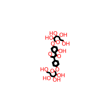 O=c1c(-c2ccc(OC3OC(CO)C(O)C(O)C3O)cc2)coc2cc(OC3OC(CO)C(O)C(O)C3O)cc(O)c12